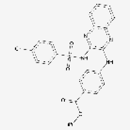 CC(C)OC(=O)c1ccc(Nc2nc3ccccc3nc2NS(=O)(=O)c2ccc(Cl)cc2)cc1